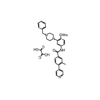 COc1ccc(NC(=O)c2ccc(-c3ccncc3)c(C)c2)cc1N1CCN(Cc2ccccc2)CC1.O=C(O)C(=O)O